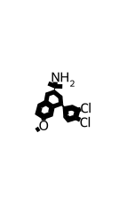 COc1ccc2c(c1)[C@H](c1ccc(Cl)c(Cl)c1)C[C@@H](C(C)(C)N)C2